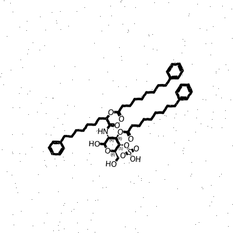 O=C(CCCCCCCCc1ccccc1)OC(CCCCCCCc1ccccc1)C(=O)N[C@H]1C(O)O[C@H](CO)[C@@H](OS(=O)(=O)O)[C@@H]1OC(=O)CCCCCCCCc1ccccc1